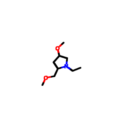 CCN1CC(OC)CC1COC